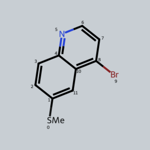 CSc1ccc2nccc(Br)c2c1